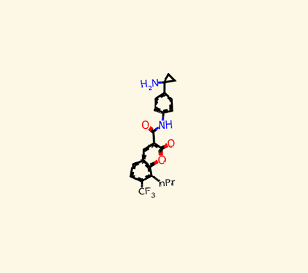 CCCc1c(C(F)(F)F)ccc2cc(C(=O)Nc3ccc(C4(N)CC4)cc3)c(=O)oc12